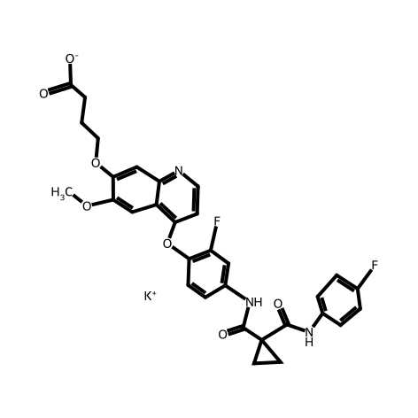 COc1cc2c(Oc3ccc(NC(=O)C4(C(=O)Nc5ccc(F)cc5)CC4)cc3F)ccnc2cc1OCCCC(=O)[O-].[K+]